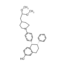 COC(CC1CCN(c2ccc([C@H]3c4ccc(O)cc4CC[C@H]3c3ccccc3)cc2)CC1)OC